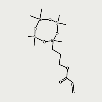 C=CC(=O)OCCC[Si]1(C)O[Si](C)(C)O[Si](C)(C)O[Si](C)(C)O1